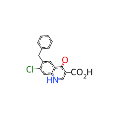 O=C(O)c1c[nH]c2cc(Cl)c(Cc3ccccc3)cc2c1=O